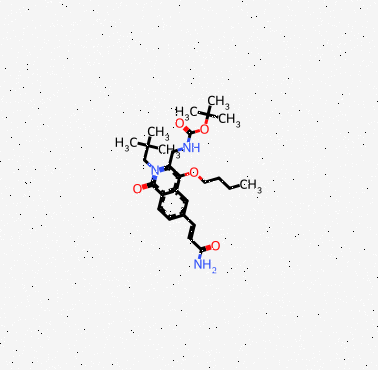 CCCCOc1c(CNC(=O)OC(C)(C)C)n(CC(C)(C)C)c(=O)c2ccc(/C=C/C(N)=O)cc12